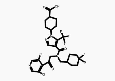 O=C(CN(CC1CCC(F)(F)CC1)C(=O)c1cnn(C2CCC(C(=O)O)CC2)c1C(F)(F)F)c1c(Cl)cncc1Cl